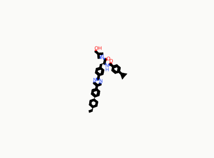 CC[C@H]1CC[C@H](c2ccc(-c3cnc(-c4ccc(C[C@H](NC(=O)c5ccc(C6CC6)cc5)C(=O)N5CC(CO)C5)cc4)nc3)cc2)CC1